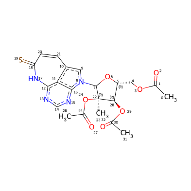 CC(=O)OC[C@H]1OC(n2cc3c4c(ncnc42)NC(=S)C=C3)[C@](C)(OC(C)=O)[C@@H]1OC(C)=O